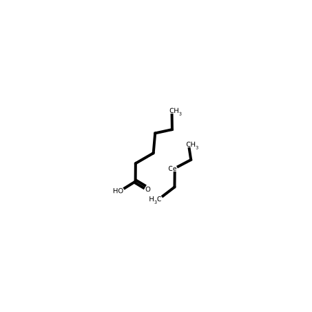 CCCCCC(=O)O.C[CH2][Ce][CH2]C